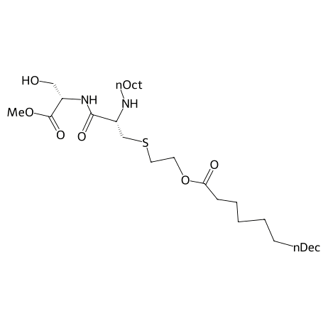 CCCCCCCCCCCCCCCC(=O)OCCSC[C@@H](NCCCCCCCC)C(=O)N[C@@H](CO)C(=O)OC